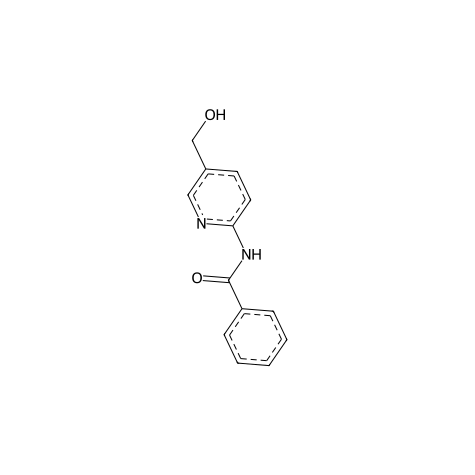 O=C(Nc1ccc(CO)cn1)c1ccccc1